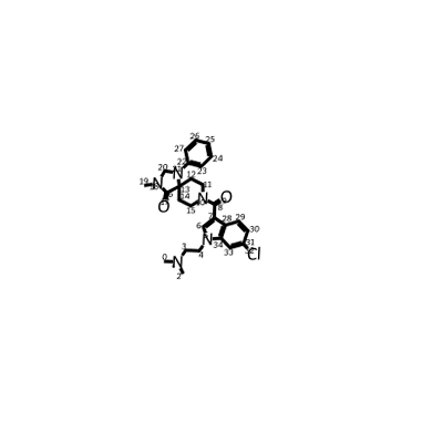 CN(C)CCn1cc(C(=O)N2CCC3(CC2)C(=O)N(C)CN3c2ccccc2)c2ccc(Cl)cc21